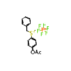 CC(=O)Oc1ccc([S+](C)Cc2ccccc2)cc1.F[P-](F)(F)(F)(F)F